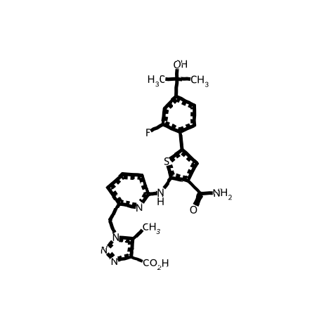 Cc1c(C(=O)O)nnn1Cc1cccc(Nc2sc(-c3ccc(C(C)(C)O)cc3F)cc2C(N)=O)n1